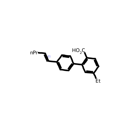 CCC/C=C/c1ccc(-c2cc(CC)ccc2C(=O)O)cc1